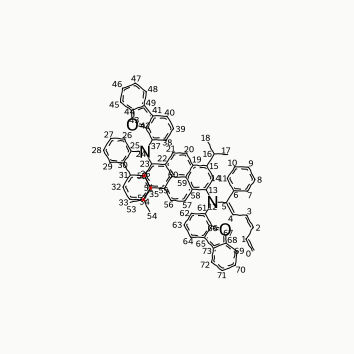 C=C/C=C\C=C(/c1ccccc1)N(c1cc(C(C)C)c2ccc3c(N(c4ccccc4-c4ccccc4)c4cccc5c4oc4ccccc45)cc(C(C)C)c4ccc1c2c43)c1cccc2c1oc1ccccc12